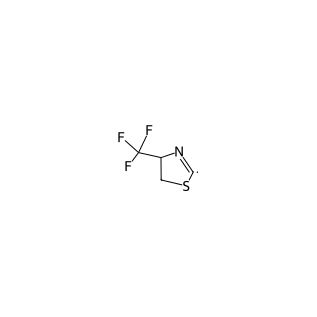 FC(F)(F)C1CS[C]=N1